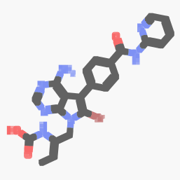 CC=C(Cn1c(Br)c(-c2ccc(C(=O)Nc3ccccn3)cc2)c2c(N)ncnc21)NC(=O)O